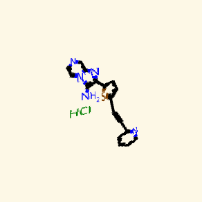 Cl.Nc1c(-c2ccc(C#Cc3ccccn3)s2)nc2cnccn12